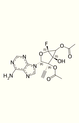 C#C[C@]1(OC(C)=O)[C@H](n2cnc3c(N)ncnc32)O[C@]2(F)C(OC(C)=O)[C@]12O